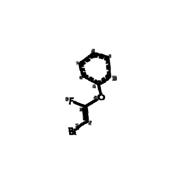 FC(=CBr)Oc1c[c]ccc1